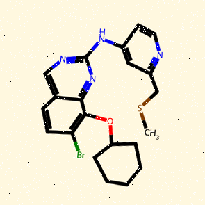 CSCc1cc(Nc2ncc3ccc(Br)c(OC4CCCCC4)c3n2)ccn1